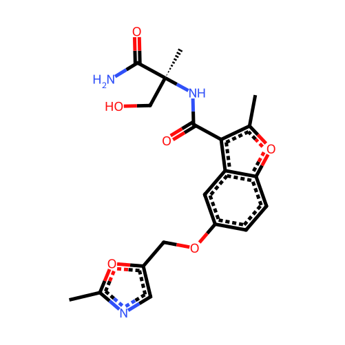 Cc1ncc(COc2ccc3oc(C)c(C(=O)N[C@@](C)(CO)C(N)=O)c3c2)o1